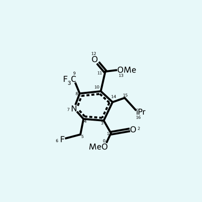 COC(=O)c1c(CF)nc(C(F)(F)F)c(C(=O)OC)c1CC(C)C